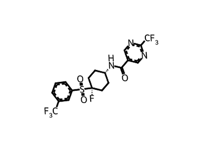 O=C(N[C@H]1CC[C@](F)(S(=O)(=O)c2cccc(C(F)(F)F)c2)CC1)c1cnc(C(F)(F)F)nc1